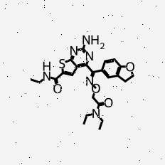 CCNC(=O)c1cc2c(C(=NOCC(=O)N(CC)CC)c3ccc4c(c3)CCO4)nc(N)nc2s1